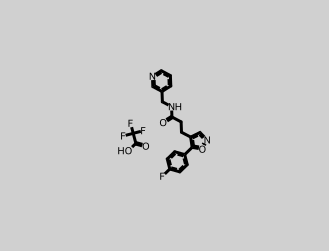 O=C(CCc1cnoc1-c1ccc(F)cc1)NCc1cccnc1.O=C(O)C(F)(F)F